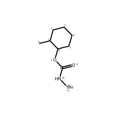 CC1CCCCC1OC(=O)NC(C)(C)C